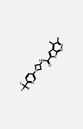 Cc1nnc2sc(C(=O)NC3CN(c4ccc(C(F)(F)F)nc4)C3)cc2c1C